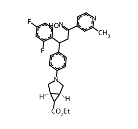 CCOC(=O)C1[C@H]2CN(c3ccc(C(C/C(=N\O)c4ccnc(C)c4)c4ccc(F)cc4F)cc3)C[C@@H]12